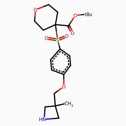 CC1(COc2ccc(S(=O)(=O)C3(C(=O)OC(C)(C)C)CCOCC3)cc2)CNC1